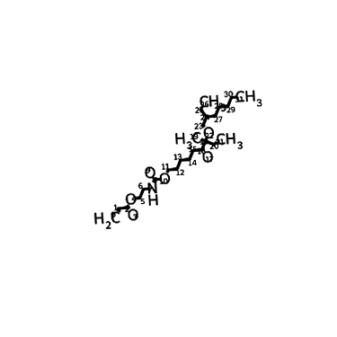 C=CC(=O)OCCNC(=O)OCCCCCC(=O)C(C)(CC)OCC(CC)CCCCC